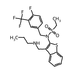 CCCNCc1c(N(Cc2ccc(F)c(C(F)(F)F)c2)S(=O)(=O)CC)sc2ccccc12